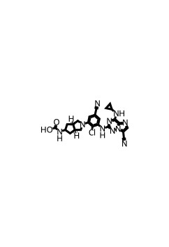 N#Cc1cc(Nc2nc(NC3CC3)c3ncc(C#N)n3n2)c(Cl)c(N2C[C@H]3CC(NC(=O)O)C[C@H]3C2)c1